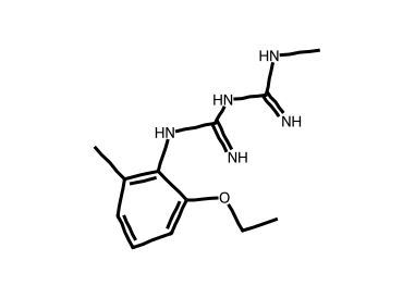 CCOc1cccc(C)c1NC(=N)NC(=N)NC